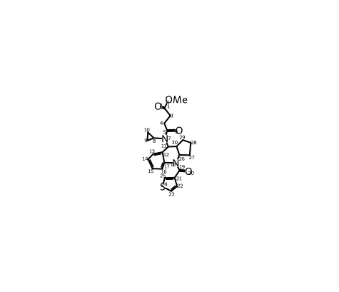 COC(=O)CCC(=O)N(C1CC1)C1c2ccccc2N(C(=O)c2ccsc2)C2CCCC21